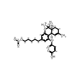 CC1=C[C@H]2c3c(OC(=O)/C=C\C(=O)O)cc(CCCCCO[N+](=O)[O-])cc3OC(C)(C)[C@@H]2CC1